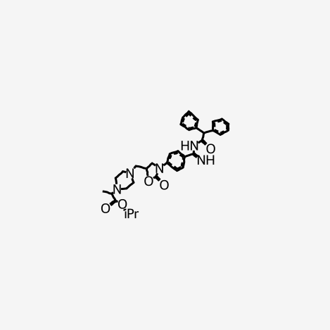 CC(C)OC(=O)C(C)N1CCN(CC2CN(c3ccc(C(=N)NC(=O)C(c4ccccc4)c4ccccc4)cc3)C(=O)O2)CC1